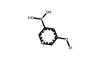 CCOc1cncc(B(O)O)c1